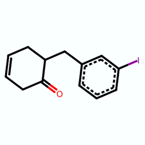 O=C1CC=CCC1Cc1cccc(I)c1